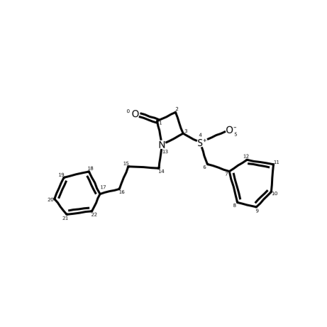 O=C1CC([S+]([O-])Cc2ccccc2)N1CCCc1ccccc1